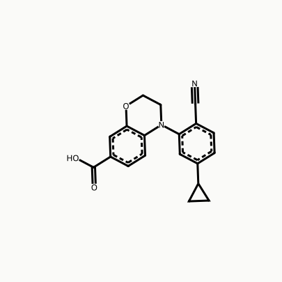 N#Cc1ccc(C2CC2)cc1N1CCOc2cc(C(=O)O)ccc21